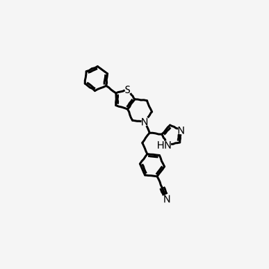 N#Cc1ccc(CC(c2cnc[nH]2)N2CCc3sc(-c4ccccc4)cc3C2)cc1